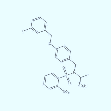 C[C@@H](C(=O)O)N(Cc1ccc(OCc2cccc(F)c2)cc1)S(=O)(=O)c1ccccc1[N+](=O)[O-]